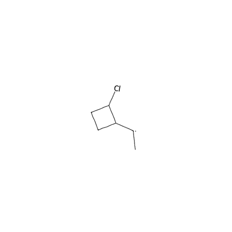 C[CH]C1CCC1Cl